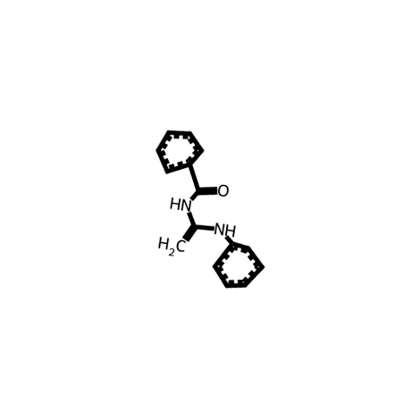 C=C(NC(=O)c1ccccc1)Nc1ccccc1